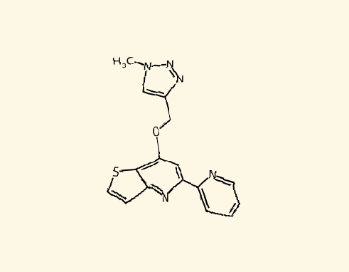 Cn1cc(COc2cc(-c3ccccn3)nc3ccsc23)nn1